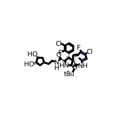 C\C1=C/C(Cl)=C(F)\C=C\[C@]2(C(=O)N1)[C@@H](CC(C)(C)C)N[C@@H](C(=O)NCCC1C[C@H](O)[C@@H](O)C1)[C@@H]2c1cccc(Cl)c1F